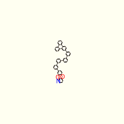 c1cc(-c2cccc(-c3cccc(-c4ccc5c6ccccc6c6ccccc6c5c4)c3)c2)cc(-c2cccc(-c3ccc4c(c3)Oc3ncccc3O4)c2)c1